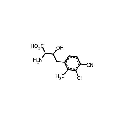 Cc1c(C[C@H](O)[C@@H](N)C(=O)O)ccc(C#N)c1Cl